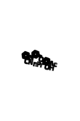 CCCc1c(OCc2cccc(Oc3ccccc3C#N)c2)ccc(C(C)=O)c1O